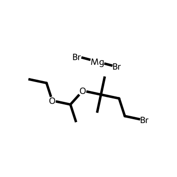 CCOC(C)OC(C)(C)CCBr.[Br][Mg][Br]